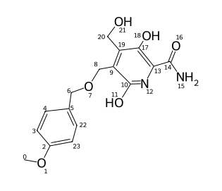 COc1ccc(COCc2c(O)nc(C(N)=O)c(O)c2CO)cc1